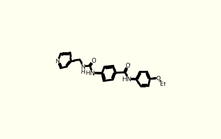 CCOc1ccc(NC(=O)c2ccc(NC(=O)NCc3ccncc3)cc2)cc1